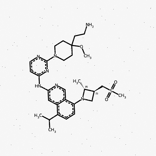 COC1(CCN)CCN(c2nccc(Nc3cc4c(C(C)C)ccc(N5C[C@H](CS(C)(=O)=O)[C@H]5C)c4cn3)n2)CC1